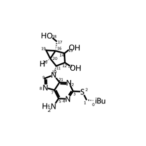 CC[C@@H](C)CSc1nc(N)c2ncn([C@H]3C(O)C(O)[C@]4(CO)C[C@H]34)c2n1